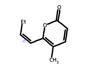 CC/C=C\c1oc(=O)ccc1C